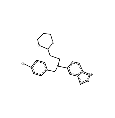 Clc1ccc(CN(CCC2OCCCO2)c2ccc3[nH]ncc3c2)cc1